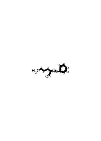 CCCCC(C=O)ONc1ccccc1